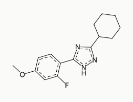 COc1ccc(-c2nc(C3CCCCC3)n[nH]2)c(F)c1